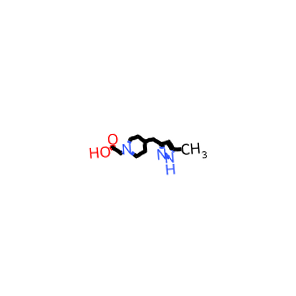 Cc1cc(CC2CCN(CC(=O)O)CC2)n[nH]1